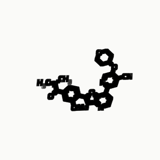 COc1cc(C(=O)N(C)C)ccc1-c1cc2nccc(-c3cc(C#N)c(OC4CCOCC4)cn3)c2o1